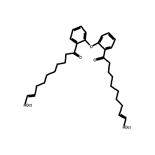 CCCCCCCCC=CCCCCCCCC(=O)c1ccccc1Oc1ccccc1C(=O)CCCCCCCC=CCCCCCCCC